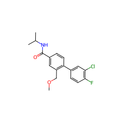 COCc1cc(C(=O)NC(C)C)ccc1-c1ccc(F)c(Cl)c1